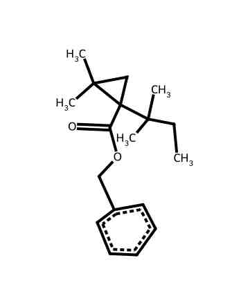 CCC(C)(C)C1(C(=O)OCc2ccccc2)CC1(C)C